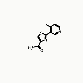 Cc1ccncc1-c1nc(C(N)=O)cs1